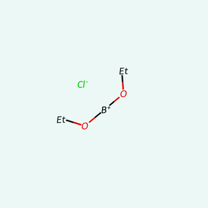 CCO[B+]OCC.[Cl-]